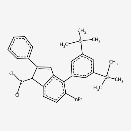 CCCc1ccc2c(c1-c1cc([Si](C)(C)C)cc([Si](C)(C)C)c1)C=C(c1ccccc1)[CH]2[Zr]([Cl])[Cl]